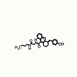 CCCCNC(=O)CNC(=O)c1c2c(nc3ccccc13)C(=Cc1ccc(O)cc1)CCC2